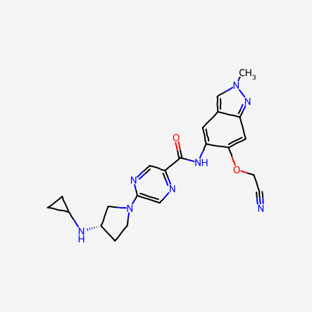 Cn1cc2cc(NC(=O)c3cnc(N4CC[C@H](NC5CC5)C4)cn3)c(OCC#N)cc2n1